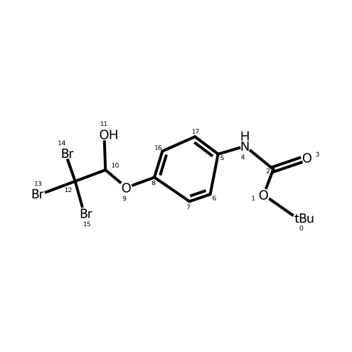 CC(C)(C)OC(=O)Nc1ccc(OC(O)C(Br)(Br)Br)cc1